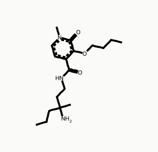 CCCCOc1c(C(=O)NCCC(C)(N)CCC)ccn(C)c1=O